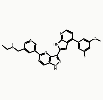 CCNCc1cncc(-c2ccc3[nH]nc(-c4cc5c(-c6cc(F)cc(OC)c6)ccnc5[nH]4)c3n2)c1